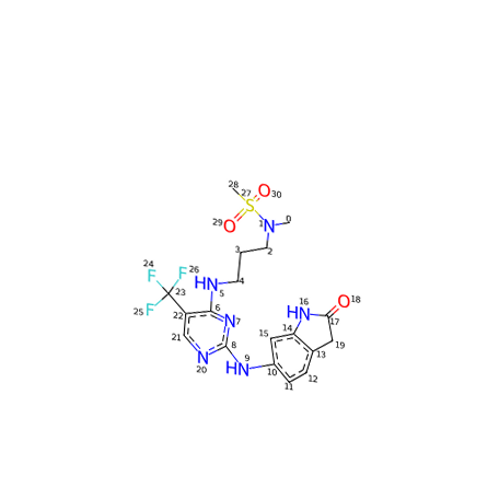 CN(CCCNc1nc(Nc2ccc3c(c2)NC(=O)C3)ncc1C(F)(F)F)S(C)(=O)=O